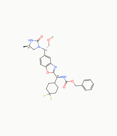 COC[C@H](c1ccc2oc([C@@H](NC(=O)OCc3ccccc3)C3CCC(F)(F)CC3)nc2c1)N1C[C@@H](C)NC1=O